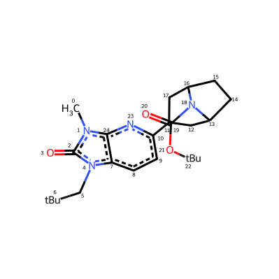 Cn1c(=O)n(CC(C)(C)C)c2ccc(C3CC4CCC(C3)N4C(=O)OC(C)(C)C)nc21